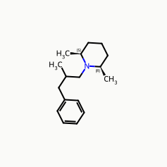 CC(Cc1ccccc1)CN1[C@H](C)CCC[C@@H]1C